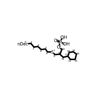 CCCCCCCCCCCCCCCCSCC(COP(=O)(O)O)CC1CCCCC1